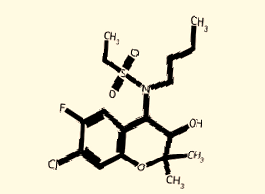 CCCCN(C1c2cc(F)c(Cl)cc2OC(C)(C)C1O)S(=O)(=O)CC